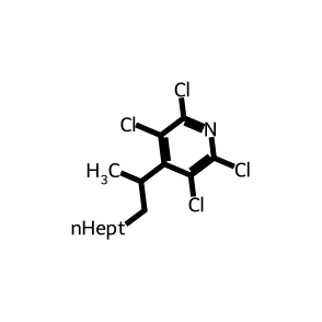 CCCCCCCCC(C)c1c(Cl)c(Cl)nc(Cl)c1Cl